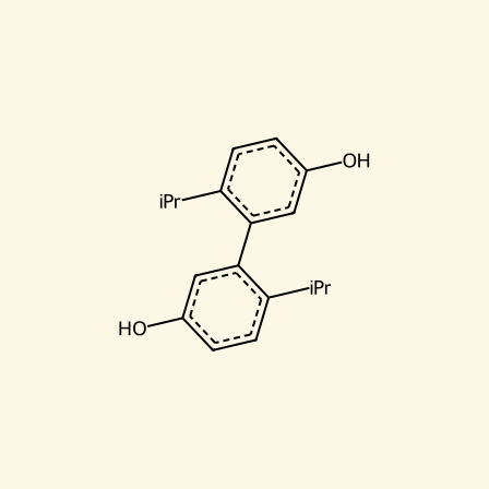 CC(C)c1ccc(O)cc1-c1cc(O)ccc1C(C)C